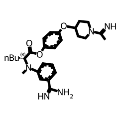 CCCC[C@H](C(=O)Oc1ccc(OC2CCN(C(C)=N)CC2)cc1)N(C)c1cccc(C(=N)N)c1